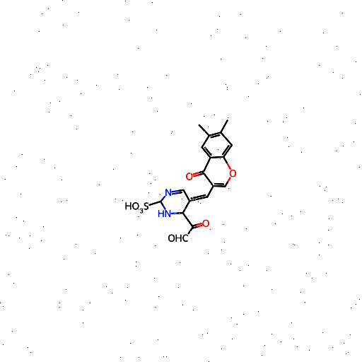 Cc1cc2occ(C=C3C=NC(S(=O)(=O)O)NC3C(=O)C=O)c(=O)c2cc1C